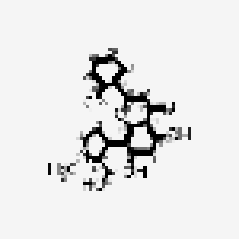 CN1CCC(c2c(O)cc(O)c3c(=O)cc(-c4ccccc4Cl)oc23)[C@H]1CO